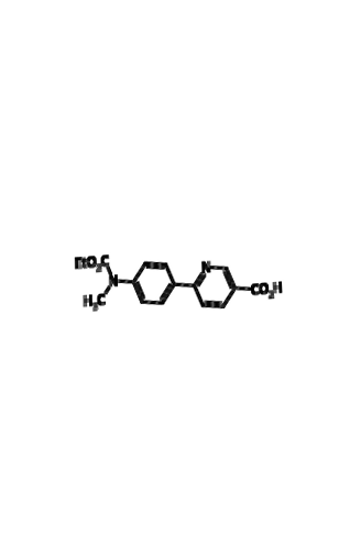 CCOC(=O)N(C)c1ccc(-c2ccc(C(=O)O)cn2)cc1